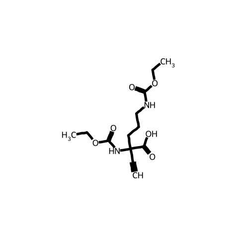 C#CC(CCCNC(=O)OCC)(NC(=O)OCC)C(=O)O